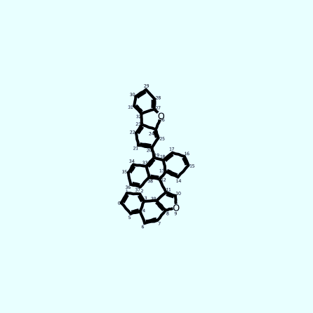 c1ccc2c(c1)ccc1occ(-c3c4ccccc4c(-c4ccc5c(c4)oc4ccccc45)c4ccccc34)c12